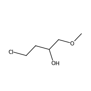 COCC(O)CCCl